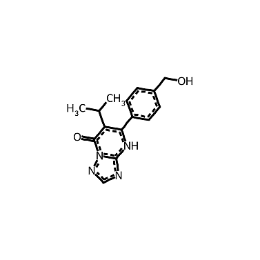 CC(C)c1c(-c2ccc(CO)cc2)[nH]c2ncnn2c1=O